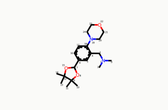 CN(C)Cc1cc(C2OC(C)(C)C(C)(C)O2)ccc1N1CCOCC1